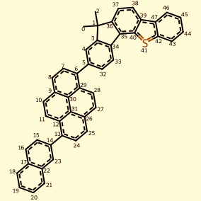 CC1(C)c2cc(-c3ccc4ccc5c(-c6ccc7ccccc7c6)ccc6ccc3c4c65)ccc2-c2c1ccc1c2sc2ccccc21